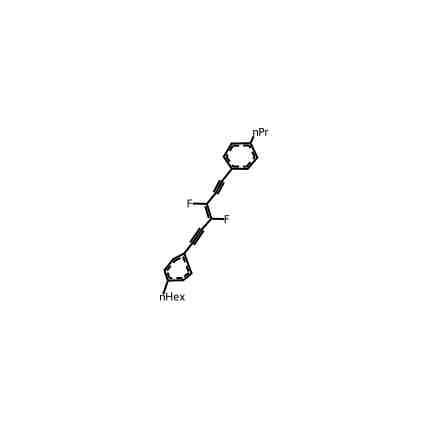 CCCCCCc1ccc(C#C/C(F)=C(\F)C#Cc2ccc(CCC)cc2)cc1